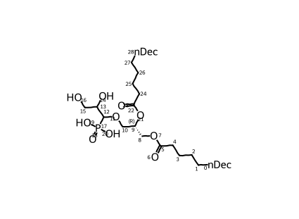 CCCCCCCCCCCCCCC(=O)OC[C@H](COC(C(O)CO)P(=O)(O)O)OC(=O)CCCCCCCCCCCCCC